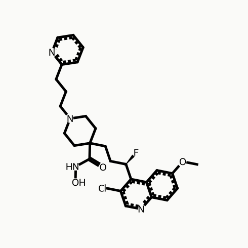 COc1ccc2ncc(Cl)c([C@H](F)CCC3(C(=O)NO)CCN(CCCc4ccccn4)CC3)c2c1